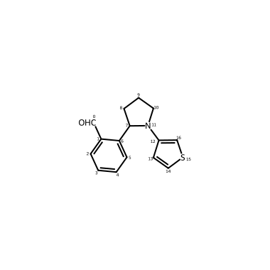 O=Cc1ccccc1C1CCCN1c1ccsc1